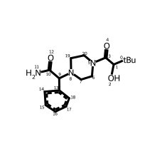 CC(C)(C)C(O)C(=O)N1CCN(C(C(N)=O)c2ccccc2)CC1